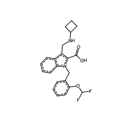 O=C(O)c1c(CNC2CCC2)c2ccccc2n1Cc1ccccc1OC(F)F